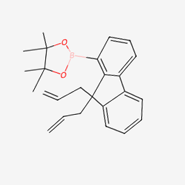 C=CCC1(CC=C)c2ccccc2-c2cccc(B3OC(C)(C)C(C)(C)O3)c21